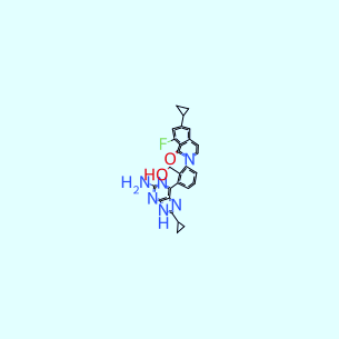 Nc1nc(-c2cccc(-n3ccc4cc(C5CC5)cc(F)c4c3=O)c2CO)c2nc(C3CC3)[nH]c2n1